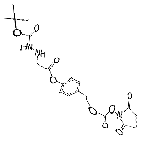 CC(C)(C)OC(=O)NNCC(=O)Oc1ccc(COC(=O)ON2C(=O)CCC2=O)cc1